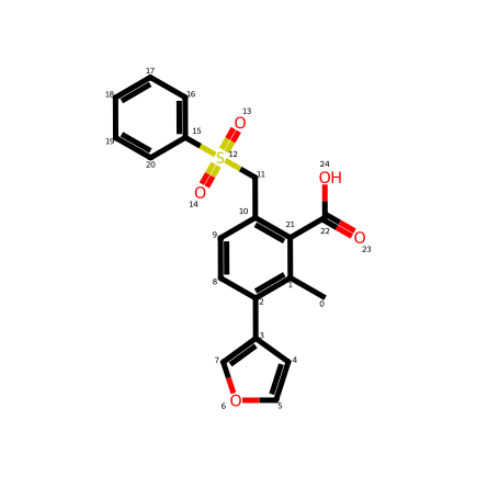 Cc1c(-c2ccoc2)ccc(CS(=O)(=O)c2ccccc2)c1C(=O)O